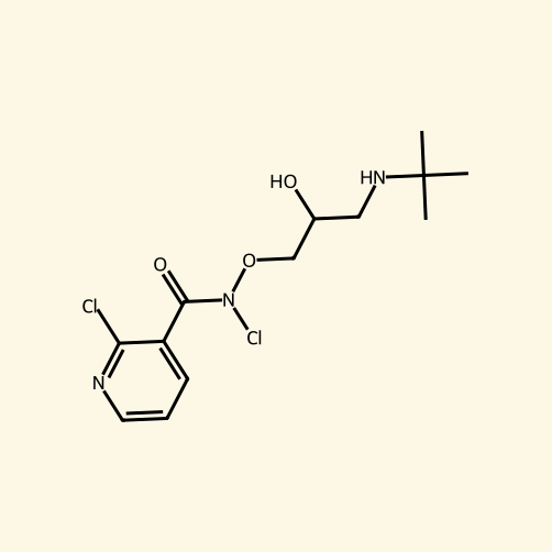 CC(C)(C)NCC(O)CON(Cl)C(=O)c1cccnc1Cl